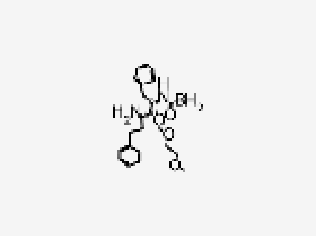 BC(=O)N[C@H](Cc1ccccc1)[C@H](OCOCCOC)[C@H](N)CCc1ccccc1